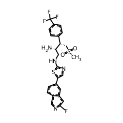 CS(=O)(=O)C[C@@H](c1ccc(C(F)(F)F)cc1)[C@@H](N)CNc1ncc(-c2ccc3cnc(F)cc3c2)s1